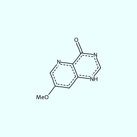 COc1cnc2c(=O)nc[nH]c2c1